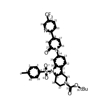 Cc1ccc(S(=O)(=O)n2c3c(c4ccc(-n5ccc(-c6ccc(C(F)(F)F)cn6)cc5=O)cc42)CN(C(=O)OC(C)(C)C)CC3)cc1